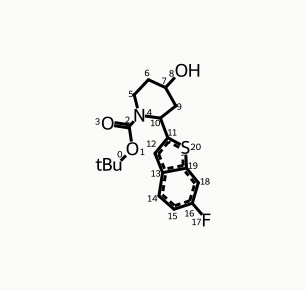 CC(C)(C)OC(=O)N1CCC(O)CC1c1cc2ccc(F)cc2s1